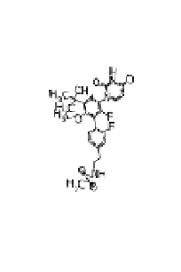 COc1c(C(C)(C)C)cc(-n2ccc(=O)[nH]c2=O)c(F)c1-c1ccc(CCNS(C)(=O)=O)cc1F